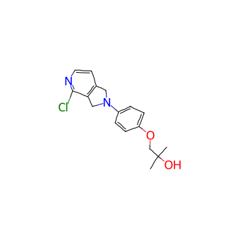 CC(C)(O)COc1ccc(N2Cc3ccnc(Cl)c3C2)cc1